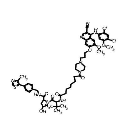 COc1cc(Nc2c(C#N)cnc3cc(OCCCN4CCN(C(=O)CCCCCCC(=O)NC(C(=O)N5CC(O)CC5C(=O)NCc5ccc(-c6scnc6C)cc5)C(C)(C)C)CC4)c(OC)cc23)c(Cl)cc1Cl